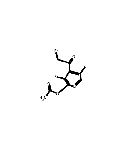 Cc1cnc(OC(N)=O)c(F)c1C(=O)CBr